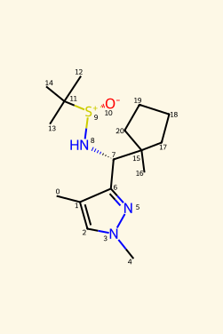 Cc1cn(C)nc1[C@H](N[S@@+]([O-])C(C)(C)C)C1(C)CCCC1